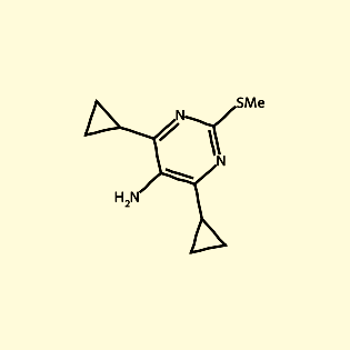 CSc1nc(C2CC2)c(N)c(C2CC2)n1